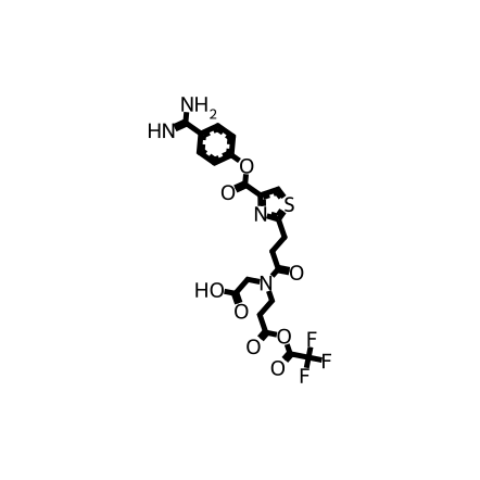 N=C(N)c1ccc(OC(=O)c2csc(CCC(=O)N(CCC(=O)OC(=O)C(F)(F)F)CC(=O)O)n2)cc1